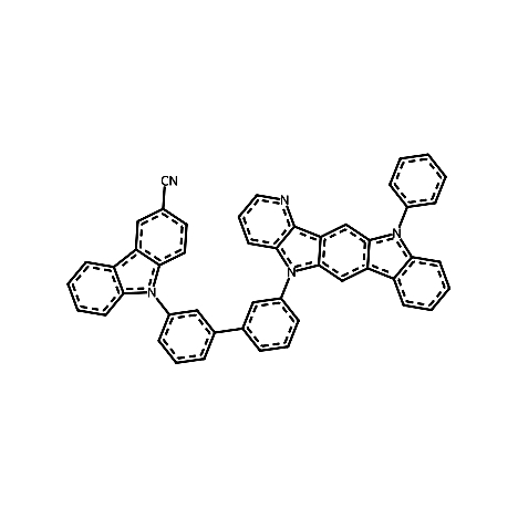 N#Cc1ccc2c(c1)c1ccccc1n2-c1cccc(-c2cccc(-n3c4cc5c6ccccc6n(-c6ccccc6)c5cc4c4ncccc43)c2)c1